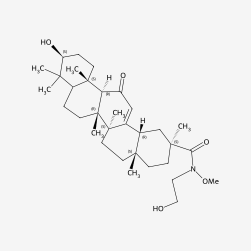 CON(CCO)C(=O)[C@@]1(C)CC[C@]2(C)CC[C@]3(C)C(=CC(=O)[C@@H]4[C@@]5(C)CC[C@H](O)C(C)(C)C5CC[C@]43C)[C@@H]2C1